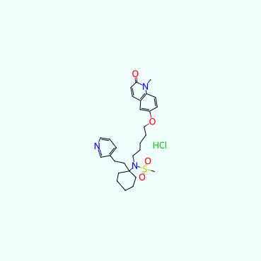 Cl.Cn1c(=O)ccc2cc(OCCCCCN(C3(CCc4cccnc4)CCCCC3)S(C)(=O)=O)ccc21